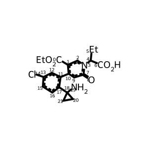 CCOC(=O)c1cn(C(CC)C(=O)O)c(=O)cc1-c1cc(Cl)ccc1C1(N)CC1